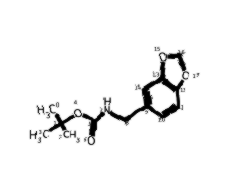 CC(C)(C)OC(=O)NCc1ccc2c(c1)OCO2